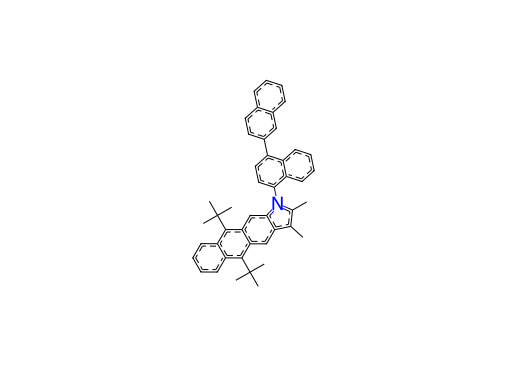 Cc1c(C)n(-c2ccc(-c3ccc4ccccc4c3)c3ccccc23)c2cc3c(C(C)(C)C)c4ccccc4c(C(C)(C)C)c3cc12